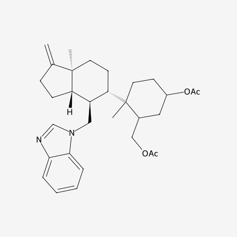 C=C1CC[C@H]2[C@H](Cn3cnc4ccccc43)[C@@H](C3(C)CCC(OC(C)=O)CC3COC(C)=O)CC[C@]12C